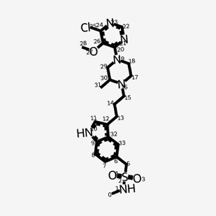 CNS(=O)(=O)Cc1ccc2[nH]cc(CCCN3CCN(c4ncnc(Cl)c4OC)CC3C)c2c1